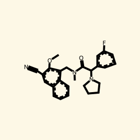 COc1c(C#N)cc2ccccc2c1CN(C)C(=O)C(c1cccc(F)c1)N1CCCC1